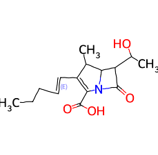 CCC/C=C/C1=C(C(=O)O)N2C(=O)C(C(C)O)C2C1C